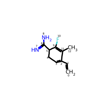 C=CC1=CCC(C(=N)N)C(F)=C1C